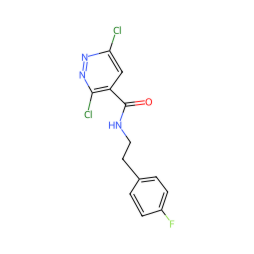 O=C(NCCc1ccc(F)cc1)c1cc(Cl)nnc1Cl